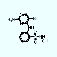 CNS(=O)(=O)c1ccccc1Nc1nc(N)ncc1Br